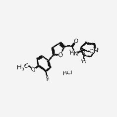 COc1ccc(-c2ccc(C(=O)N[C@H]3CN4CCC3CC4)o2)cc1F.Cl